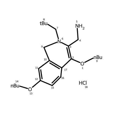 CCCCOC1=C(CN)N(CC(C)(C)C)Cc2cc(OCCCC)ccc21.Cl